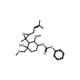 COC1C(OC(=O)Oc2ccccc2)CCC(O)(CSC)C1C1(C)OC1CC=C(C)C